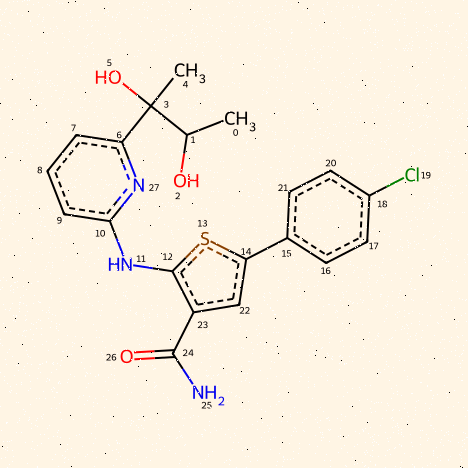 CC(O)C(C)(O)c1cccc(Nc2sc(-c3ccc(Cl)cc3)cc2C(N)=O)n1